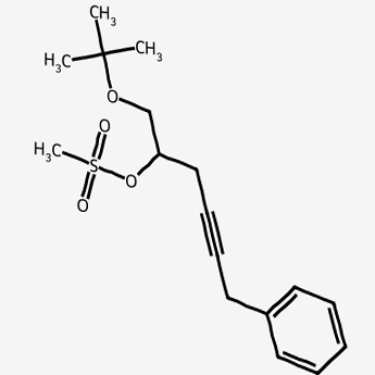 CC(C)(C)OCC(CC#CCc1ccccc1)OS(C)(=O)=O